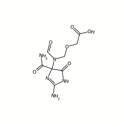 NC(=O)C1(N(C=O)COCC(=O)O)N=C(N)NC1=O